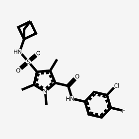 Cc1c(S(=O)(=O)NC23CC(C2)C3)c(C)n(C)c1C(=O)Nc1ccc(F)c(Cl)c1